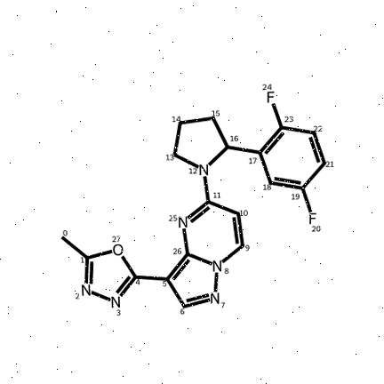 Cc1nnc(-c2cnn3ccc(N4CCCC4c4cc(F)ccc4F)nc23)o1